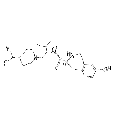 CC(C)C(CN1CCC(C(F)F)CC1)NC(=O)[C@H]1Cc2ccc(O)cc2CN1